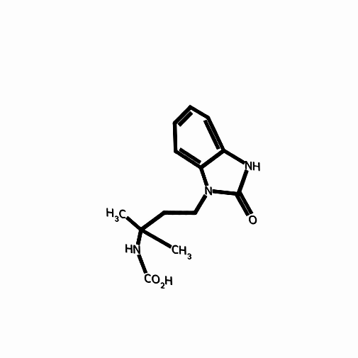 CC(C)(CCn1c(=O)[nH]c2ccccc21)NC(=O)O